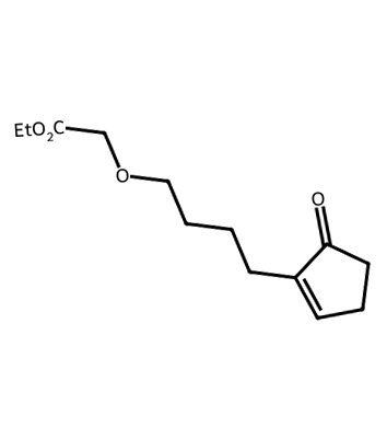 CCOC(=O)COCCCCC1=CCCC1=O